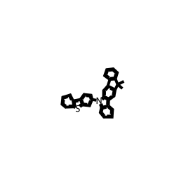 CC1(C)c2ccccc2-c2cc3c(cc21)c1ccccc1n3-c1ccc2c(c1)sc1ccccc12